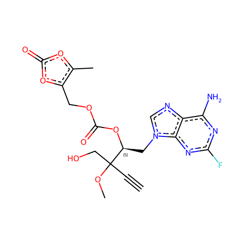 C#CC(CO)(OC)[C@H](Cn1cnc2c(N)nc(F)nc21)OC(=O)OCc1oc(=O)oc1C